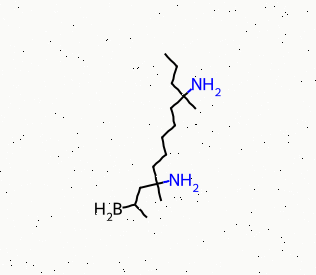 BC(C)CC(C)(N)CCCCCC(C)(N)CCC